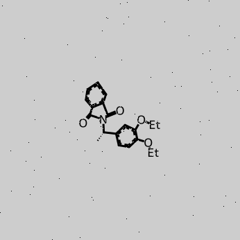 CCOc1ccc([C@H](C)N2C(=O)c3ccccc3C2=O)cc1OCC